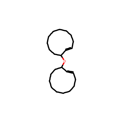 C1=C/C(OC2/C=C/CCCCCCCCC2)CCCCCCCCC/1